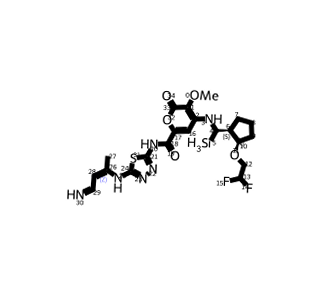 COc1c(NC([SiH3])[C@H]2CCC[C@H]2OCC(F)F)cc(C(=O)Nc2nnc(N/C(C)=C\C=N)s2)oc1=O